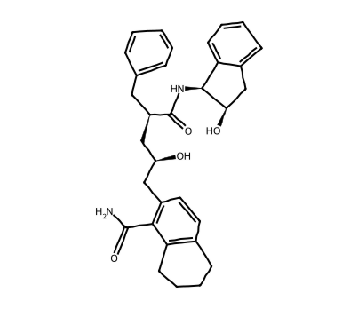 NC(=O)c1c(C[C@H](O)C[C@@H](Cc2ccccc2)C(=O)N[C@H]2c3ccccc3C[C@H]2O)ccc2c1CCCC2